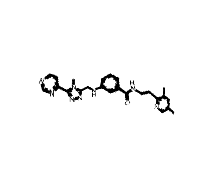 Cc1cnc(CCNC(=O)c2cccc(NCc3nnc(-c4ccncn4)n3C)c2)c(C)c1